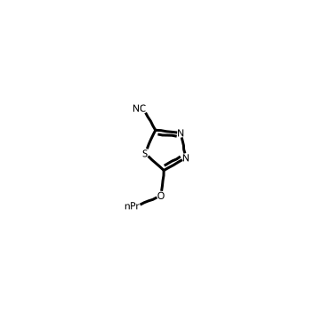 CCCOc1nnc(C#N)s1